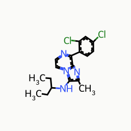 CCC(CC)Nc1c(C)nc2c(-c3ccc(Cl)cc3Cl)nccn12